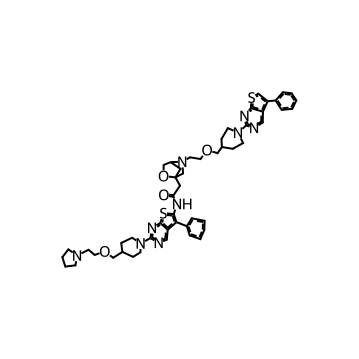 O=C(CC12CC(CO1)N(CCOCC1CCN(c3ncc4c(-c5ccccc5)csc4n3)CC1)C2)Nc1sc2nc(N3CCC(COCCN4CCCC4)CC3)ncc2c1-c1ccccc1